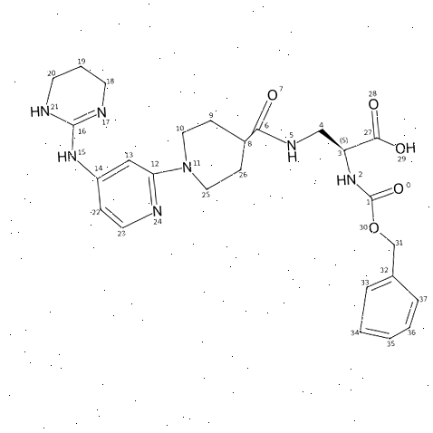 O=C(N[C@@H](CNC(=O)C1CCN(c2cc(NC3=NCCCN3)ccn2)CC1)C(=O)O)OCc1ccccc1